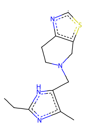 CCc1nc(C)c(CN2CCc3n[c]sc3C2)[nH]1